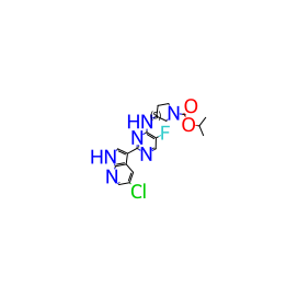 CC(C)OC(=O)N1CC[C@H](Nc2nc(-c3c[nH]c4ncc(Cl)cc34)ncc2F)C1